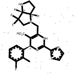 Cc1c(F)cccc1[C@@H]1N=C(c2nccs2)NC(CN2CC(F)(F)[C@@H]3NCC[C@@H]32)=C1C(=O)O